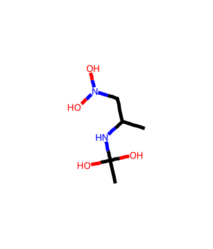 CC(CN(O)O)NC(C)(O)O